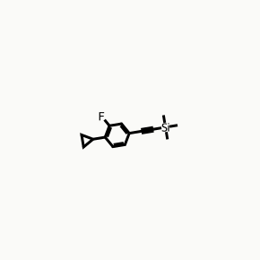 C[Si](C)(C)C#Cc1ccc(C2CC2)c(F)c1